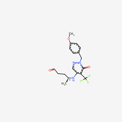 COc1ccc(Cn2ncc(N[C@@H](C)CCC=O)c(C(F)(F)F)c2=O)cc1